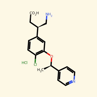 C[C@@H](Oc1cc([C@H](CN)CC(=O)O)ccc1Cl)c1ccncc1.Cl